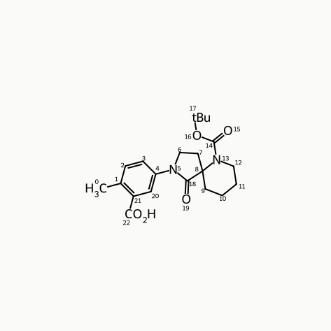 Cc1ccc(N2CCC3(CCCCN3C(=O)OC(C)(C)C)C2=O)cc1C(=O)O